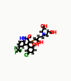 O=c1[nH]c2ccc(C(F)(F)F)cc2c(-c2cc(Cl)ccc2O)c1SCC(O)CCN(CCO)CCO